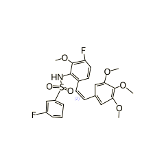 COc1cc(/C=C\c2ccc(F)c(OC)c2NS(=O)(=O)c2cccc(F)c2)cc(OC)c1OC